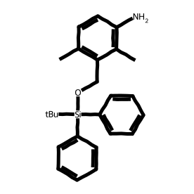 Cc1ccc(N)c(C)c1CO[Si](c1ccccc1)(c1ccccc1)C(C)(C)C